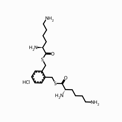 Cl.NCCCC[C@H](N)C(=O)SCc1ccccc1CSC(=O)[C@@H](N)CCCCN